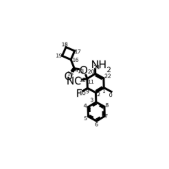 CC1=C(c2ccccc2)C(F)C(C#N)(OC(=O)C2CCC2)C(N)=C1